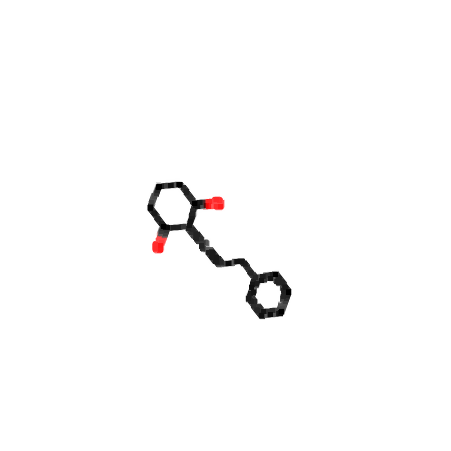 O=C1CCCC(=O)C1=C=CCc1ccccc1